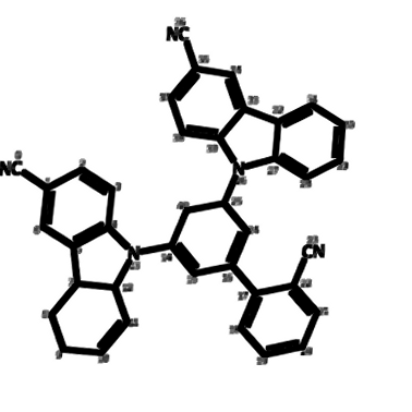 N#Cc1ccc2c(c1)C1CCC=CC1N2C1=CC(c2ccccc2C#N)=CC(n2c3ccccc3c3cc(C#N)ccc32)C1